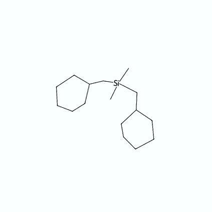 C[Si](C)(CC1CCCCC1)CC1CCCCC1